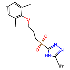 Cc1c[c]cc(C)c1OCCCS(=O)(=O)c1nnc(C(C)C)[nH]1